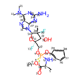 CC(C)OC(=O)[C@H](C)NP(=S)(OC[C@@]1(F)O[C@@H](n2cnc3c(N(C)C)nc(N)nc32)[C@](C)(F)[C@@H]1O)Oc1ccccc1